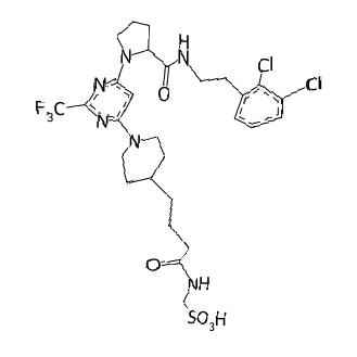 O=C(CCCC1CCN(c2cc(N3CCCC3C(=O)NCCc3cccc(Cl)c3Cl)nc(C(F)(F)F)n2)CC1)NCS(=O)(=O)O